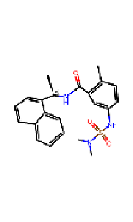 Cc1ccc(NS(=O)(=O)N(C)C)cc1C(=O)N[C@H](C)c1cccc2ccccc12